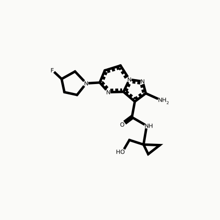 Nc1nn2ccc(N3CCC(F)C3)nc2c1C(=O)NC1(CO)CC1